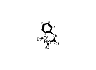 CCO[PH](=O)C(=O)Oc1ccccc1